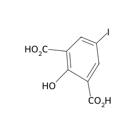 O=C(O)c1cc(I)cc(C(=O)O)c1O